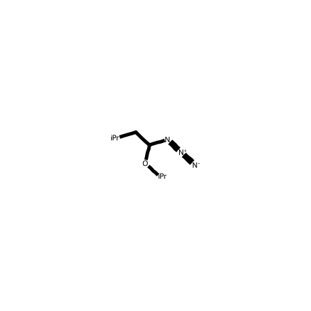 CC(C)CC(N=[N+]=[N-])OC(C)C